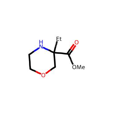 CCC1(C(=O)OC)COCCN1